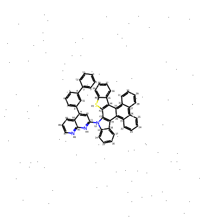 c1ccc(-c2cccc(-c3cc(-n4c5ccccc5c5c6c7ccccc7c7ccccc7c6c6c7ccccc7sc6c54)nc4ncccc34)c2)cc1